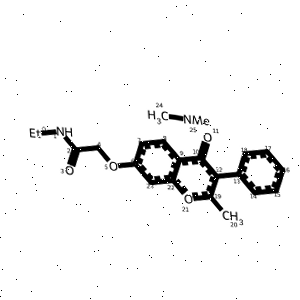 CCNC(=O)COc1ccc2c(=O)c(-c3ccccc3)c(C)oc2c1.CNC